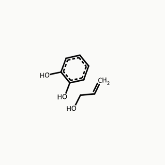 C=CCO.Oc1ccccc1O